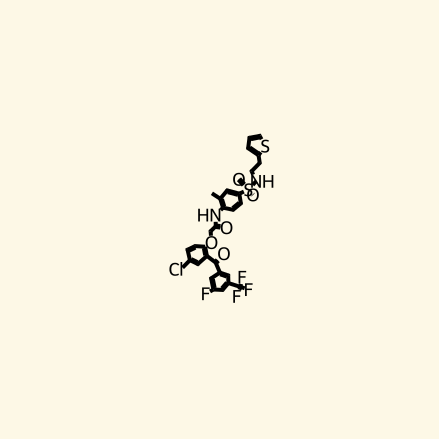 Cc1cc(S(=O)(=O)NCCc2cccs2)ccc1NC(=O)COc1ccc(Cl)cc1C(=O)c1cc(F)cc(C(F)(F)F)c1